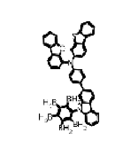 Bc1c(B)c(B)c(-n2c3ccccc3c3ccc(-c4ccc(N(c5ccc6c(c5)sc5ccccc56)c5cccc6c5oc5ccccc56)cc4)cc32)c(B)c1B